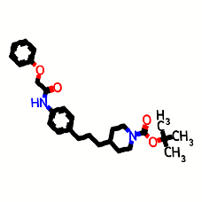 CC(C)(C)OC(=O)N1CCC(CCCc2ccc(NC(=O)COc3ccccc3)cc2)CC1